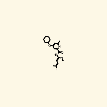 C=N/C(=C\C=C(/C)F)NC(=O)c1cc(OC2CCCCC2)cc(C)n1